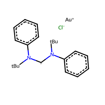 CC(C)(C)N([C]N(c1ccccc1)C(C)(C)C)c1ccccc1.[Au+].[Cl-]